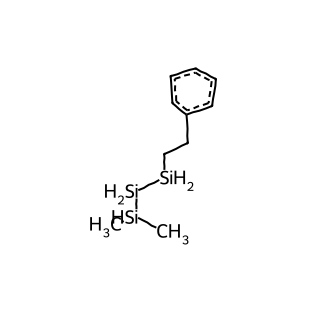 C[SiH](C)[SiH2][SiH2]CCc1ccccc1